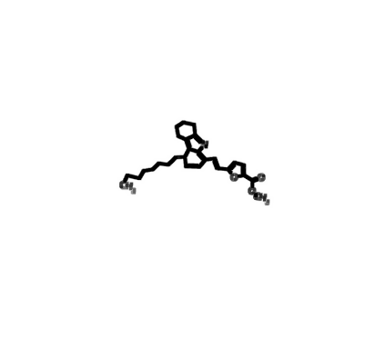 CCCCCCCCC1C=CC(C=Cc2ccc(C(=O)OC)o2)=C2N=C3CCCCC3=C21